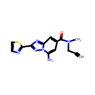 C#CCN(C)C(=O)c1cc(N)n2nc(-c3nccs3)nc2c1